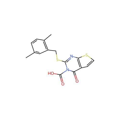 Cc1ccc(C)c(CSc2nc3sccc3c(=O)n2C(=O)O)c1